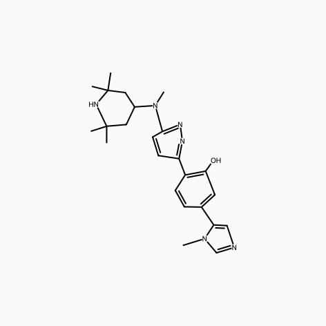 CN(c1ccc(-c2ccc(-c3cncn3C)cc2O)nn1)C1CC(C)(C)NC(C)(C)C1